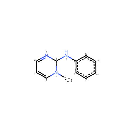 CN1C=CC=NC1Nc1ccccc1